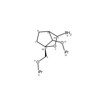 BC1O[C@]2(COC(C)C)CCC1C2OC(C)C